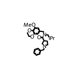 COc1cc(CN(CC(C)C)C(=O)C2CCN(Cc3ccccc3)C2)cc2c1OCCO2